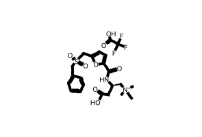 C[N+](C)(C)C[C@@H](CC(=O)O)NC(=O)c1ccc(CS(=O)(=O)Cc2ccccc2)o1.O=C(O)C(F)(F)F